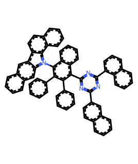 c1ccc(-c2c(-c3ccccc3)c(-n3c4cc5ccccc5cc4c4ccc5ccccc5c43)c3ccccc3c2-c2nc(-c3ccc4ccccc4c3)nc(-c3cccc4ccccc34)n2)cc1